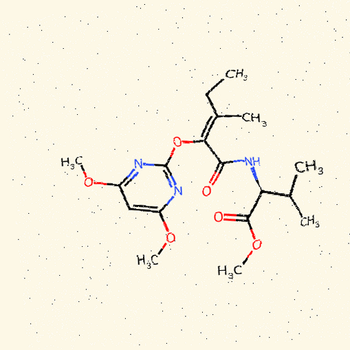 CCC(C)=C(Oc1nc(OC)cc(OC)n1)C(=O)N[C@H](C(=O)OC)C(C)C